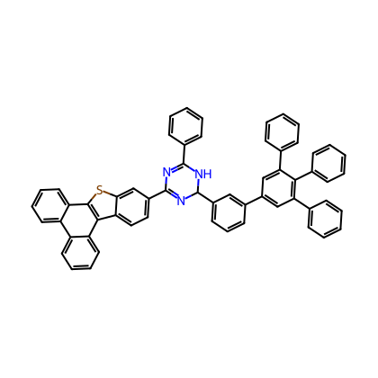 c1ccc(C2=NC(c3ccc4c(c3)sc3c5ccccc5c5ccccc5c43)=NC(c3cccc(-c4cc(-c5ccccc5)c(-c5ccccc5)c(-c5ccccc5)c4)c3)N2)cc1